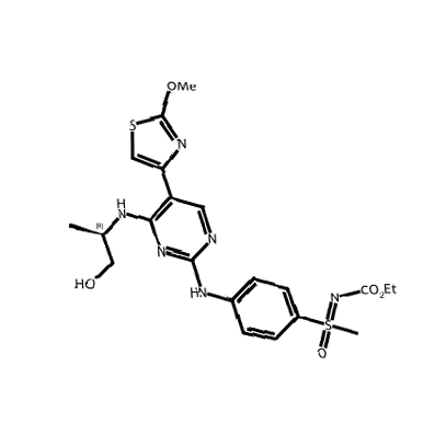 CCOC(=O)N=S(C)(=O)c1ccc(Nc2ncc(-c3csc(OC)n3)c(N[C@H](C)CO)n2)cc1